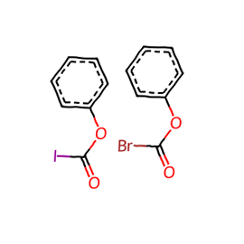 O=C(Br)Oc1ccccc1.O=C(I)Oc1ccccc1